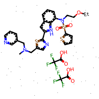 CCOCCN(c1cccc2cc(-c3ncc(CN(C)Cc4cccnc4)s3)[nH]c12)S(=O)(=O)c1cccs1.O=C(O)C(F)(F)F.O=C(O)C(F)(F)F